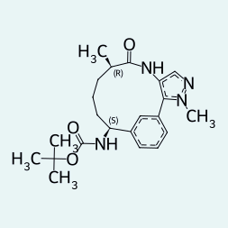 C[C@@H]1CCC[C@H](NC(=O)OC(C)(C)C)c2cccc(c2)-c2c(cnn2C)NC1=O